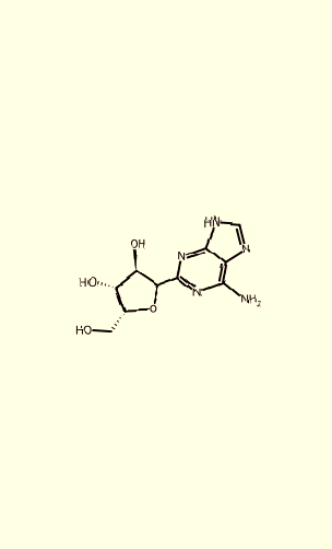 Nc1nc(C2O[C@H](CO)[C@H](O)[C@H]2O)nc2[nH]cnc12